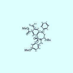 CCCC[C@@H]1CN(c2ccccc2)c2cc(N(C)C)c(C(=O)OC)cc2S(=O)(=O)N1Cc1ccc(OC)cc1